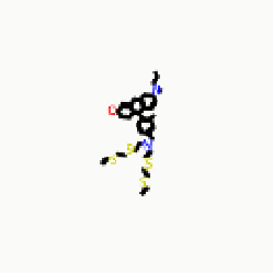 CCCN(C)c1ccc2c(c1)CC1=CC(=O)C=CC1=C2c1ccc(CN(CCSCCSCC)CCSCCSCC)cc1C